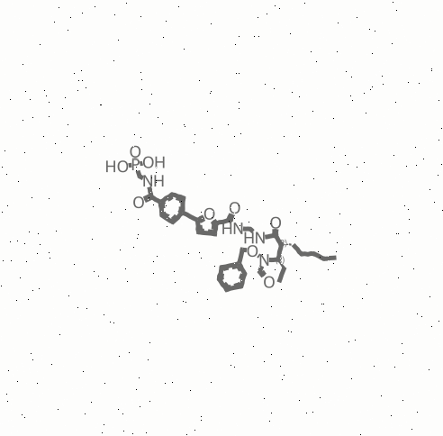 CCCCC[C@@H](C(=O)NCNC(=O)c1ccc(-c2ccc(C(=O)NCP(=O)(O)O)cc2)o1)[C@@H](CC)N(C=O)OCc1ccccc1